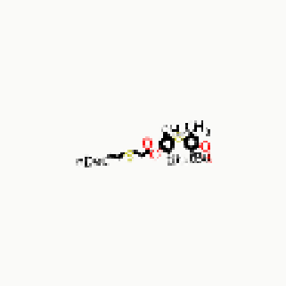 CCCCCCCCCCCCCSCCC(=O)Oc1cc(C)c(Sc2cc(C(C)(C)C)c(O)cc2C)cc1C(C)(C)C